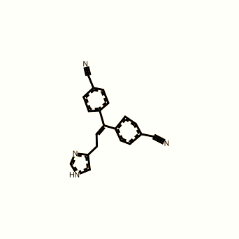 N#Cc1ccc(C(=CCc2c[nH]cn2)c2ccc(C#N)cc2)cc1